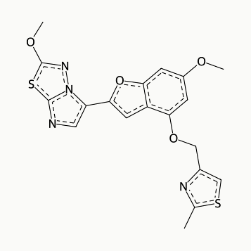 COc1cc(OCc2csc(C)n2)c2cc(-c3cnc4sc(OC)nn34)oc2c1